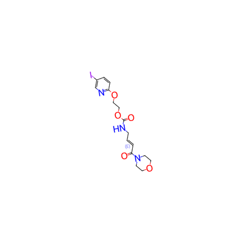 O=C(NC/C=C/C(=O)N1CCOCC1)OCCOc1ccc(I)cn1